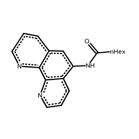 CCCCCCC(=O)Nc1cc2cccnc2c2ncccc12